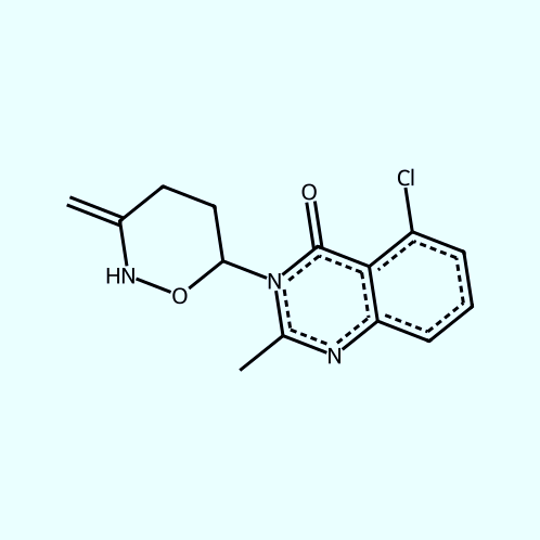 C=C1CCC(n2c(C)nc3cccc(Cl)c3c2=O)ON1